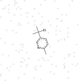 CCC(C)(C)c1ccc(C)nc1